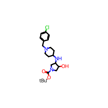 CC(C)(C)OC(=O)N1CC(O)C(NC2CCN(Cc3ccc(Cl)cc3)CC2)C1